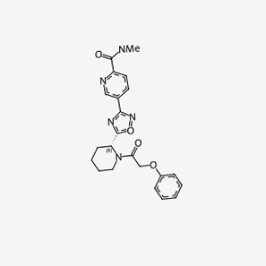 CNC(=O)c1ccc(-c2noc([C@H]3CCCCN3C(=O)COc3ccccc3)n2)cn1